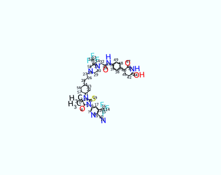 CC1(C)C(=O)N(c2cnc(C#N)c(C(F)(F)F)c2)C(=S)N1[C@H]1CC[C@H](CCCN2CCN(CC(=O)Nc3ccc(C4CCC(O)NC4=O)cc3)[C@@H](C(F)(F)F)C2)CC1